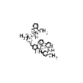 Cc1ccc(NC(=O)c2ccc(CN3CC[N+](C)(COC(=O)NC(C)c4ccccc4)CC3)cc2)cc1Nc1nccc(-c2cccnc2)n1